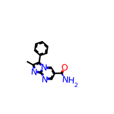 Cc1nc2ncc(C(N)=O)cn2c1-c1ccccc1